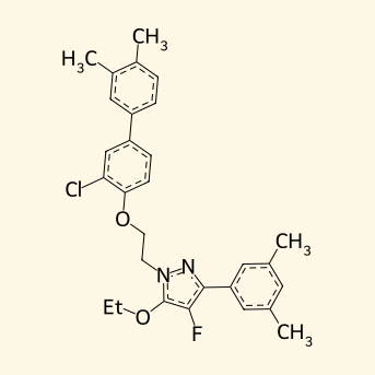 CCOc1c(F)c(-c2cc(C)cc(C)c2)nn1CCOc1ccc(-c2ccc(C)c(C)c2)cc1Cl